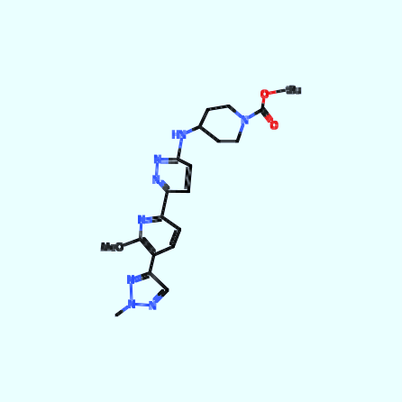 COc1nc(-c2ccc(NC3CCN(C(=O)OC(C)(C)C)CC3)nn2)ccc1-c1cnn(C)n1